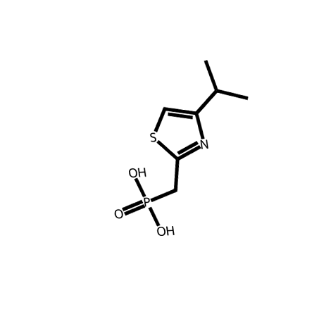 CC(C)c1csc(CP(=O)(O)O)n1